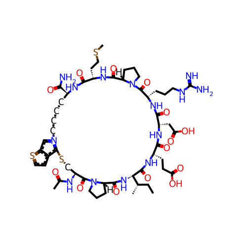 CC[C@H](C)[C@@H]1NC(=O)[C@@H]2CCCN2C(=O)[C@@H](NC(C)=O)CSc2c3ccsc3cn2CCCC[C@@H](C(N)=O)NC(=O)[C@H](CCSC)NC(=O)[C@@H]2CCCN2C(=O)[C@H](CCCNC(=N)N)NC(=O)[C@H](CC(=O)O)NC(=O)[C@H](CCC(=O)O)NC1=O